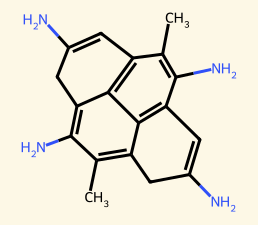 Cc1c(N)c2c3c(c(C)c(N)c4c3c1C=C(N)C4)CC(N)=C2